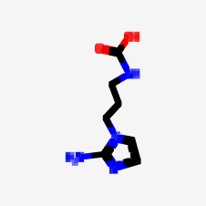 Nc1nccn1CCCNC(=O)O